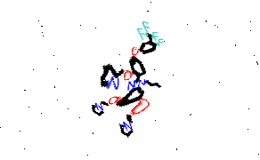 CCCCn1c(-c2ccc(Oc3ccc(F)c(C(F)(F)F)c3)cc2OCc2ccccn2)nc2c(OCCN3CCCC3)cc(OCCN3CCCC3)cc21